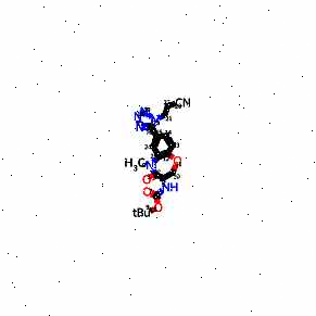 CN1C(=O)[C@@H](NC(=O)OC(C)(C)C)COc2ccc(-c3nnnn3CCC#N)cc21